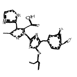 Cc1nn(-c2nc(-c3ccc(Cl)c(Cl)c3)c(SC(C)C)s2)c(C(=O)O)c1-c1ncc[nH]1